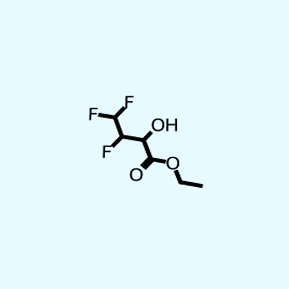 CCOC(=O)C(O)C(F)C(F)F